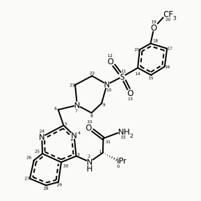 CC(C)[C@H](Nc1nc(CN2CCN(S(=O)(=O)c3cccc(OC(F)(F)F)c3)CC2)nc2ccccc12)C(N)=O